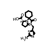 Nc1ncc(CNC(=O)C2(N3CCC[C@@H]3C(=O)O)[CH]CCCC2)s1